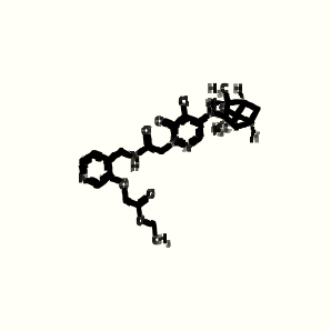 CCOC(=O)COc1cnccc1CNC(=O)Cn1ncc(N[C@@H]2C[C@@H]3C[C@H]([C@H]2C)C3(C)C)c(Cl)c1=O